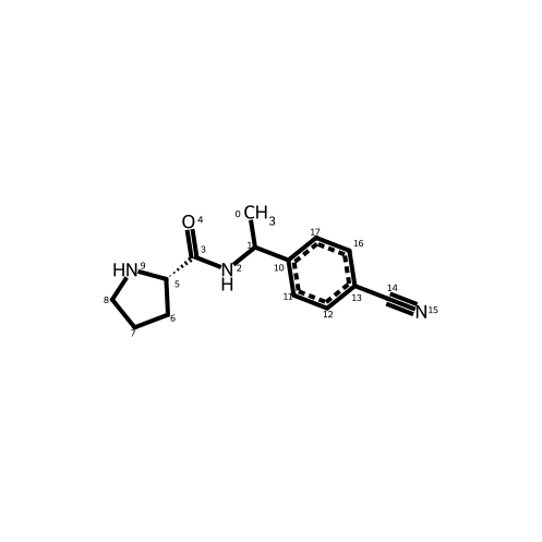 CC(NC(=O)[C@@H]1CCCN1)c1ccc(C#N)cc1